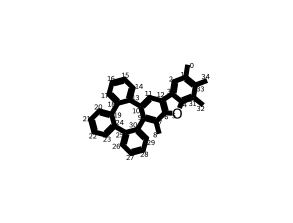 Cc1cc2c(oc3c(C)c4c(cc32)-c2ccccc2-c2ccccc2-c2ccccc2-4)c(C)c1C